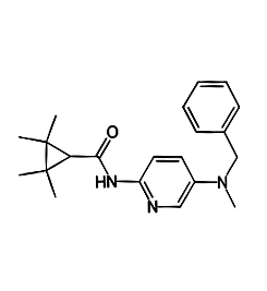 CN(Cc1ccccc1)c1ccc(NC(=O)C2C(C)(C)C2(C)C)nc1